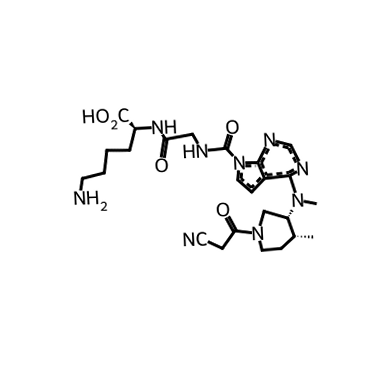 C[C@@H]1CCN(C(=O)CC#N)C[C@@H]1N(C)c1ncnc2c1ccn2C(=O)NCC(=O)N[C@@H](CCCCN)C(=O)O